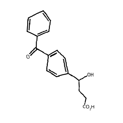 O=C(O)CCC(O)c1ccc(C(=O)c2ccccc2)cc1